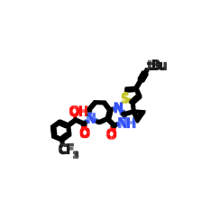 CC(C)(C)C#Cc1csc(C2(c3nc4c(c(=O)[nH]3)CN(C(=O)[C@H](O)c3cccc(C(F)(F)F)c3)CCC4)CC2)c1